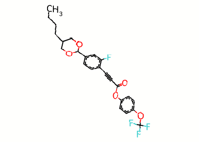 CCCCC1COC(c2ccc(C#CC(=O)Oc3ccc(OC(F)(F)F)cc3)c(F)c2)OC1